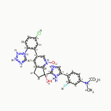 CN(C(=O)O)c1ccc(-c2cnc(C3(O)CCc4cc(-c5cc(Cl)ccc5-n5cnnn5)c[n+]([O-])c43)[nH]2)c(F)c1